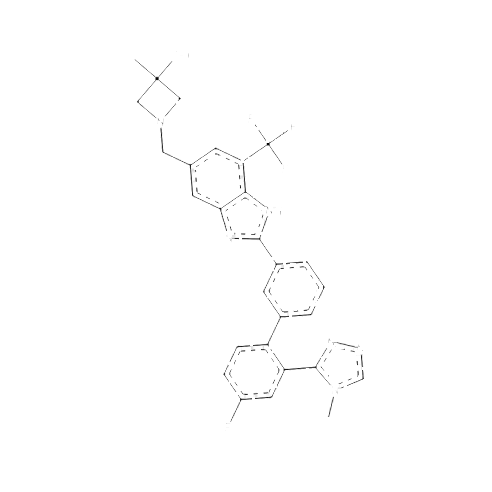 Cn1cnnc1-c1cc(F)ccc1-c1cccc(-c2nc3cc(CN4CC(C)(O)C4)cc(C(F)(F)F)c3[nH]2)c1